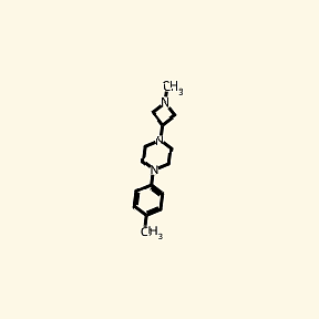 Cc1ccc(N2CCN(C3CN(C)C3)CC2)cc1